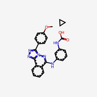 C1CC1.COc1ccc(-c2nnc3c4ccccc4c(Nc4cccc(NC(=O)O)c4)nn23)cc1